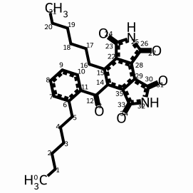 CCCCCCc1ccccc1C(=O)c1c(CCCCCC)c2c(=O)[nH]c(=O)c2c2c(=O)[nH]c(=O)c12